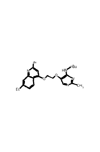 CCCCNc1nc(C)ncc1OCCOc1cc(C(C)C)nc2cc(CC)ccc12